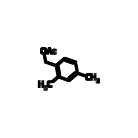 CC(=O)OCc1ccc(C)cc1C